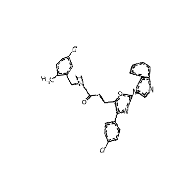 Cc1ccc(Cl)cc1CNC(=O)CCc1oc(-n2cnc3ccccc32)nc1-c1ccc(Cl)cc1